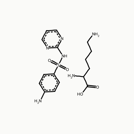 NCCCCC(N)C(=O)O.Nc1ccc(S(=O)(=O)Nc2ncccn2)cc1